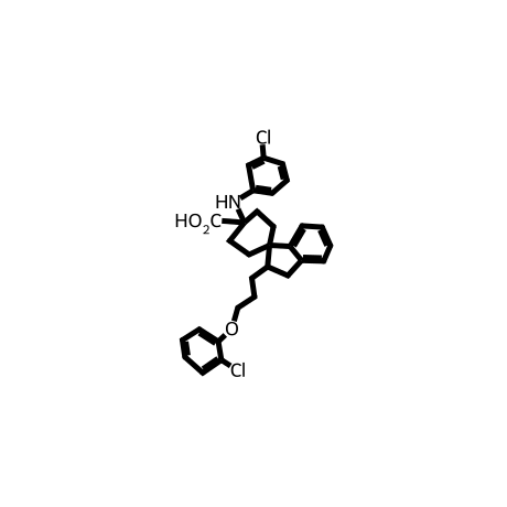 O=C(O)C1(Nc2cccc(Cl)c2)CCC2(CC1)c1ccccc1CC2CCCOc1ccccc1Cl